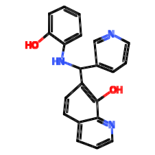 Oc1ccccc1NC(c1cccnc1)c1ccc2cccnc2c1O